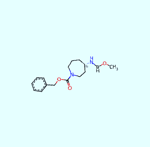 COBN[C@H]1CCCN(C(=O)OCc2ccccc2)CC1